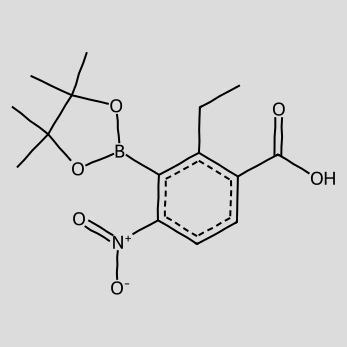 CCc1c(C(=O)O)ccc([N+](=O)[O-])c1B1OC(C)(C)C(C)(C)O1